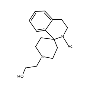 CC(=O)N1CCc2ccccc2C12CCN(CCO)CC2